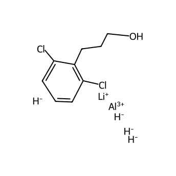 OCCCc1c(Cl)cccc1Cl.[Al+3].[H-].[H-].[H-].[H-].[Li+]